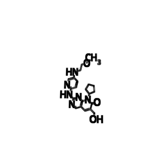 COCCNc1ccc(Nc2ncc3cc(CO)c(=O)n(C4CCCC4)c3n2)nc1